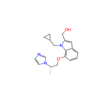 C[C@@H](COc1cccc2cc(CO)n(CC3CC3)c12)n1ccnc1